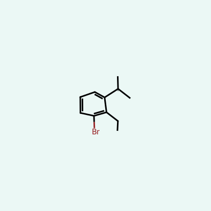 CCc1c(Br)cccc1[C](C)C